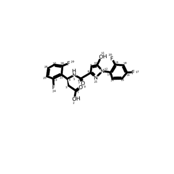 O=C(O)C[C@H](NC(=O)c1cc(O)n(-c2ccc(F)cc2F)n1)c1c(F)cccc1F